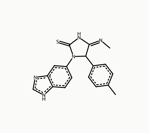 C/N=C1/NC(=S)N(c2ccc3[nH]cnc3c2)C1c1ccc(C)cc1